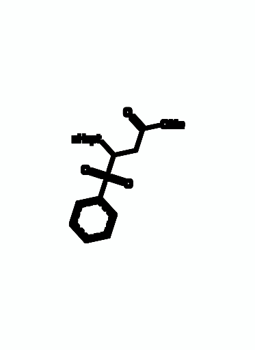 CCCCCCCC(CC(=O)OC)S(=O)(=O)c1ccccc1